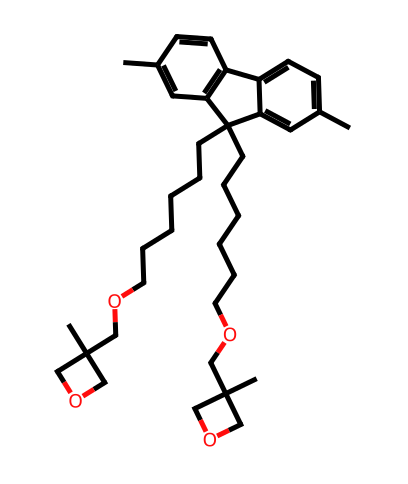 Cc1ccc2c(c1)C(CCCCCCOCC1(C)COC1)(CCCCCCOCC1(C)COC1)c1cc(C)ccc1-2